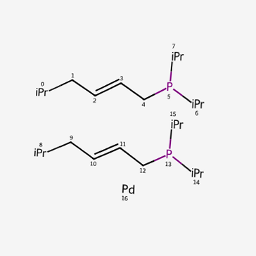 CC(C)CC=CCP(C(C)C)C(C)C.CC(C)CC=CCP(C(C)C)C(C)C.[Pd]